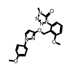 COc1ccc(-n2ccc(OCc3c(OC)cccc3-n3nnn(C)c3=O)n2)cc1